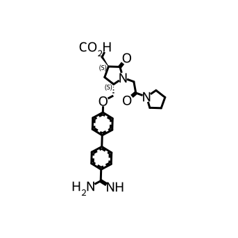 N=C(N)c1ccc(-c2ccc(OC[C@@H]3C[C@@H](CC(=O)O)C(=O)N3CC(=O)N3CCCC3)cc2)cc1